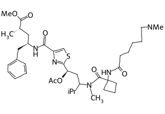 CNCCCCCC(=O)NC1(C(=O)N(C)C(C[C@@H](OC(C)=O)c2nc(C(=O)N[C@@H](Cc3ccccc3)C[C@H](C)C(=O)OC)cs2)C(C)C)CCC1